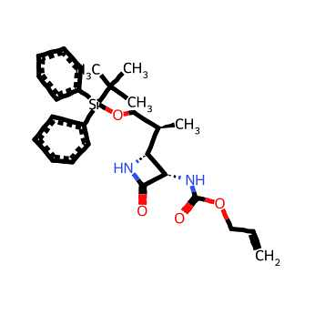 C=CCOC(=O)N[C@@H]1C(=O)N[C@@H]1[C@H](C)CO[Si](c1ccccc1)(c1ccccc1)C(C)(C)C